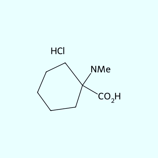 CNC1(C(=O)O)CCCCC1.Cl